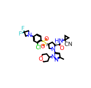 Cc1cc(N2C[C@H](S(=O)(=O)c3ccc(N4CC(F)(F)C4)cc3Cl)C[C@H]2C(=O)NC2(C#N)CC2)n(C2CCOCC2)n1